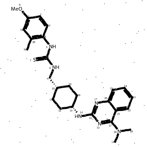 COc1ccc(NC(=S)NC[C@H]2CC[C@@H](Nc3nc(N(C)C)c4ccccc4n3)CC2)c(C)c1